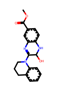 COC(=O)c1ccc2c(c1)N=C(N1CCCc3ccccc31)C(O)N2